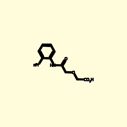 CCCc1ccccc1NC(=O)COCC(=O)O